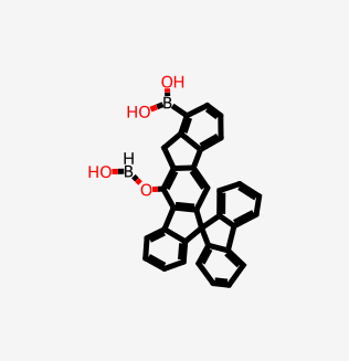 OBOc1c2c(cc3c1-c1ccccc1C31c3ccccc3-c3ccccc31)-c1cccc(B(O)O)c1C2